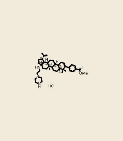 C=C(C)[C@@H]1CC[C@]2(NCCN3CCNCC3)CC[C@]3(C)[C@H](CC[C@@H]4[C@@]5(C)CC=C(c6ccc(C(=O)OC)cc6)C(C)(C)[C@@H]5CC[C@]43C)[C@@H]12.Cl